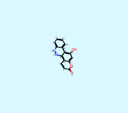 O=c1ccc2c(cc(O)c3c4ccccc4nnc23)o1